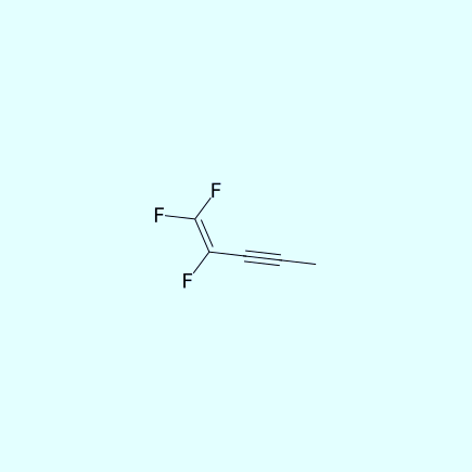 CC#CC(F)=C(F)F